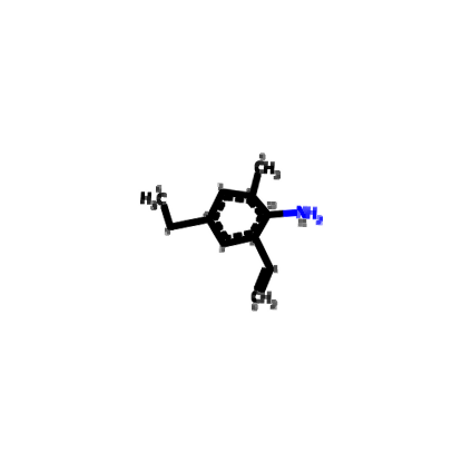 C=Cc1cc(CC)cc(C)c1N